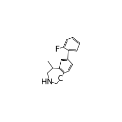 CC1CNCCc2ccc(-c3ccccc3F)cc21